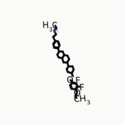 C/C=C/CCc1ccc(C2CCC3CC(C4CCC(COc5ccc(OCC)c(F)c5F)CC4)CCC3C2)cc1